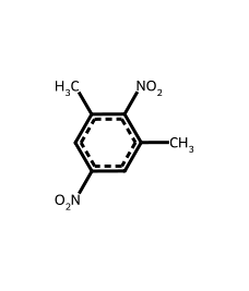 Cc1cc([N+](=O)[O-])cc(C)c1[N+](=O)[O-]